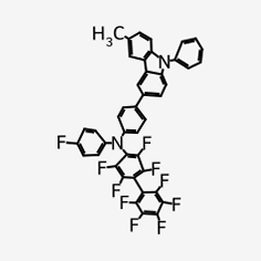 Cc1ccc2c(c1)c1cc(-c3ccc(N(c4ccc(F)cc4)c4c(F)c(F)c(-c5c(F)c(F)c(F)c(F)c5F)c(F)c4F)cc3)ccc1n2-c1ccccc1